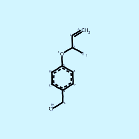 C=CC(I)Oc1ccc(CCl)cc1